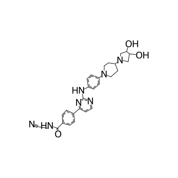 N#CCNC(=O)c1ccc(-c2ccnc(Nc3ccc(N4CCC(N5CC(O)C(O)C5)CC4)cc3)n2)cc1